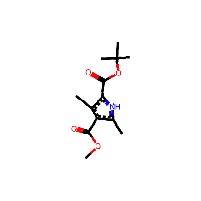 COC(=O)c1c(C)[nH]c(C(=O)OC(C)(C)C)c1C